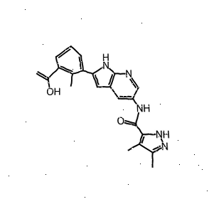 C=C(O)c1cccc(-c2cc3cc(NC(=O)c4[nH]nc(C)c4C)cnc3[nH]2)c1C